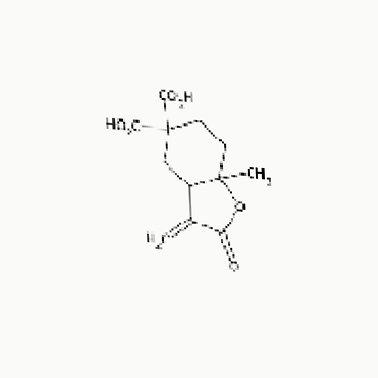 C=C1C(=O)OC2(C)CCC(C(=O)O)(C(=O)O)CC12